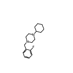 Fc1ccccc1CN1CCN(C2CCCCC2)CC1